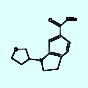 COC(=O)c1ccc2c(c1)N(C1CCOC1)CC2